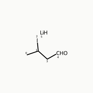 CC(I)CC=O.[LiH]